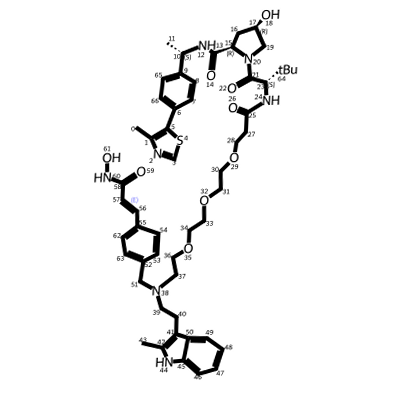 Cc1ncsc1-c1ccc([C@H](C)NC(=O)[C@H]2C[C@@H](O)CN2C(=O)[C@@H](NC(=O)CCOCCOCCOCCN(CCc2c(C)[nH]c3ccccc23)Cc2ccc(/C=C/C(=O)NO)cc2)C(C)(C)C)cc1